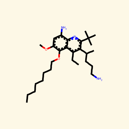 CCCCCCCCOc1c(OC)cc(N)c2nc(C(C)(C)C)c(C(C)CCCN)c(CC)c12